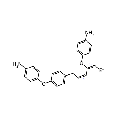 CC/C=C(\C=C/Cc1ccc(Oc2ccc(N)cc2)cc1)Oc1ccc(N)cc1